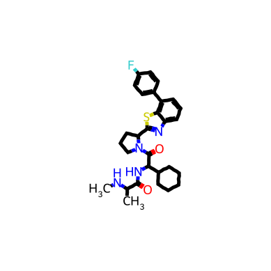 CNC(C)C(=O)NC(C(=O)N1CCCC1c1nc2cccc(-c3ccc(F)cc3)c2s1)C1CCCCC1